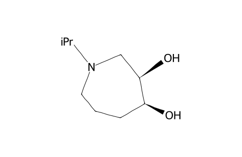 CC(C)N1CCC[C@H](O)[C@H](O)C1